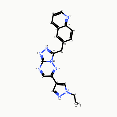 CCn1cc(-c2cnc3nnc(Cc4ccc5ncccc5c4)n3n2)cn1